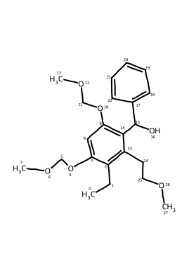 CCc1c(OCOC)cc(OCOC)c(C(O)c2ccccc2)c1CCOC